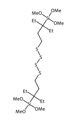 CCC(CC)(CCSSSSCCC(CC)(CC)[Si](OC)(OC)OC)[Si](OC)(OC)OC